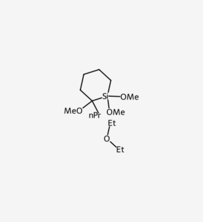 CCCC1(OC)CCCC[Si]1(OC)OC.CCOCC